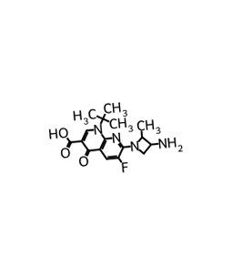 CC1C(N)CN1c1nc2c(cc1F)c(=O)c(C(=O)O)cn2C(C)(C)C